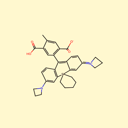 Cc1cc(C(=O)[O-])c(C2=C3C=CC(=[N+]4CCC4)C=C3[Si]3(CCCCC3)c3cc(N4CCC4)ccc32)cc1C(=O)O